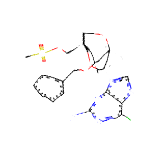 CS(=O)(=O)OC[C@]12CO[C@@H]([C@H](n3cnc4c(Cl)nc(N)nc43)O1)[C@@H]2OCc1ccccc1